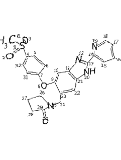 CS(=O)(=O)c1ccc(Oc2cc3nc(-c4ccccn4)[nH]c3cc2CN2CCCC2=O)cc1